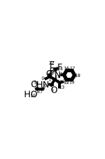 CC(=O)C(C(=O)NCC(=O)O)(C(C)C)N(c1ccccc1)C(F)(F)F